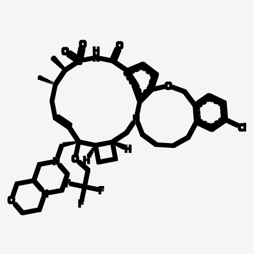 C[C@@H]1[C@@H](C)C/C=C/[C@](CN2CCN3CCOCC3C2)(OCC(F)(F)F)[C@@H]2CC[C@H]2CN2CCCCc3cc(Cl)ccc3COc3ccc(cc32)C(=O)NS1(=O)=O